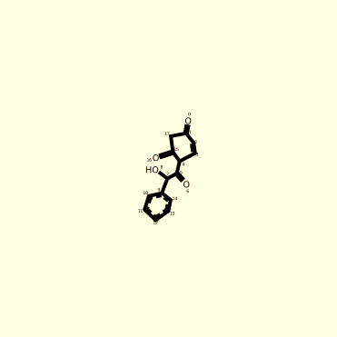 O=C1C=CC(C(=O)C(O)c2ccccc2)C(=O)C1